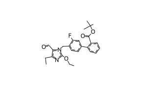 CCOc1nc(CC)c(C=O)n1Cc1ccc(-c2ccccc2C(=O)OC(C)(C)C)cc1F